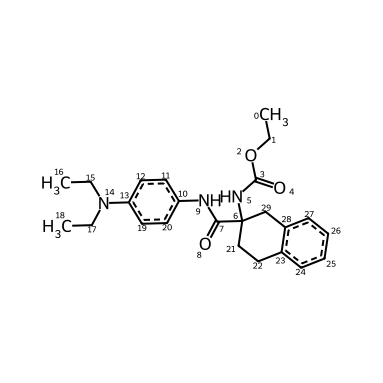 CCOC(=O)NC1(C(=O)Nc2ccc(N(CC)CC)cc2)CCc2ccccc2C1